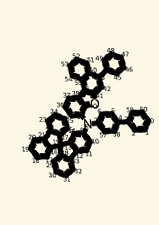 c1ccc(-c2ccc(N(c3ccc4c(c3)C3(c5ccccc5-c5ccccc53)c3ccccc3-4)c3cccc4c3oc3cc(-c5ccccc5)c5ccccc5c34)cc2)cc1